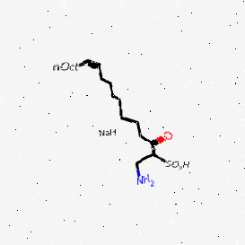 CCCCCCCC/C=C\CCCCCCCC(=O)C(CN)S(=O)(=O)O.[NaH]